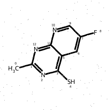 Cc1nc(S)c2cc(F)cnc2n1